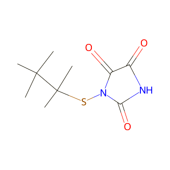 CC(C)(C)C(C)(C)SN1C(=O)NC(=O)C1=O